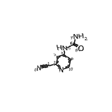 N#Cc1cc(NC(N)=O)ccn1